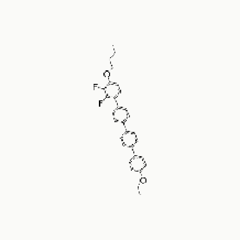 CCCCOc1ccc(-c2ccc(-c3ccc(-c4ccc(OCC)cc4)cc3)cc2)c(F)c1F